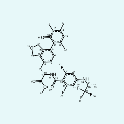 COC(=O)[C@H](Cc1ccc(-c2c(C)cc(C)n(C)c2=O)c2c1COC2)NC(=O)c1c(F)cc(N[C@H](C)C(F)(F)F)cc1F